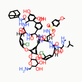 CN[C@H](CC(C)C)C(=O)N[C@H]1C(=O)N[C@@H](CC(=O)NS(=O)(=O)c2ccc(OC)cc2)C(=O)N[C@H]2C(=O)N[C@H]3C(=O)N[C@H](C(=O)N[C@H](C(=O)NC4C5CC6CC(C5)CC4C6)c4cc(O)cc(O)c4-c4cc3ccc4O)[C@H](O)c3ccc(c(Cl)c3)Oc3cc2cc(c3O[C@@H]2O[C@H](CN)[C@@H](O)[C@H](O)[C@H]2O)Oc2ccc(cc2Cl)[C@H]1O